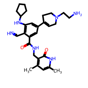 Cc1cc(C)c(CNC(=O)c2cc(C3=CCN(CCN)CC3)cc(NC3CCCC3)c2C=N)c(=O)[nH]1